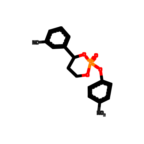 N#Cc1cccc(C2CCOP(=O)(Oc3ccc([N+](=O)[O-])cc3)O2)c1